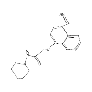 N=Cc1ccc(OCC(=O)NN2CCCCC2)c2ccccc12